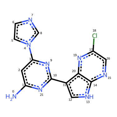 Nc1cc(-n2ccnc2)nc(-c2c[nH]c3ncc(Cl)nc23)n1